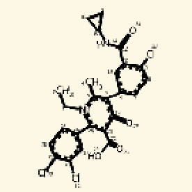 CCn1c(C)c(-c2ccc(Cl)c(C(=O)NC3CC3)c2)c(=O)c(C(=O)O)c1-c1ccc(Cl)c(Cl)c1